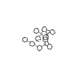 c1ccc(-c2ccc(-c3cccc(-n4c5ccccc5c5cc(-n6c7ccccc7c7cccc([Si](c8ccccc8)(c8ccccc8)c8ccccc8)c76)ccc54)c3)cc2)cc1